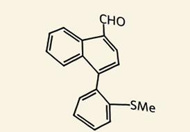 CSc1ccccc1-c1ccc(C=O)c2ccccc12